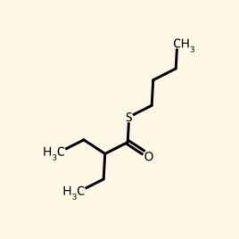 CCCCSC(=O)C(CC)CC